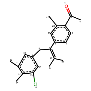 CC(=O)c1ccc(C(Cc2cc(C)c(C)c(Cl)c2)=C(C)C)cc1C